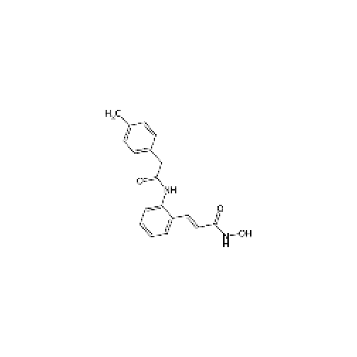 Cc1ccc(CC(=O)Nc2ccccc2C=CC(=O)NO)cc1